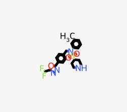 Cc1cccc(N(Cc2ccc(-c3nnc(C(F)F)o3)cc2)S(=O)(=O)C2CCNCC2)c1